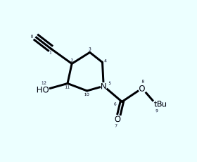 C#CC1CCN(C(=O)OC(C)(C)C)CC1O